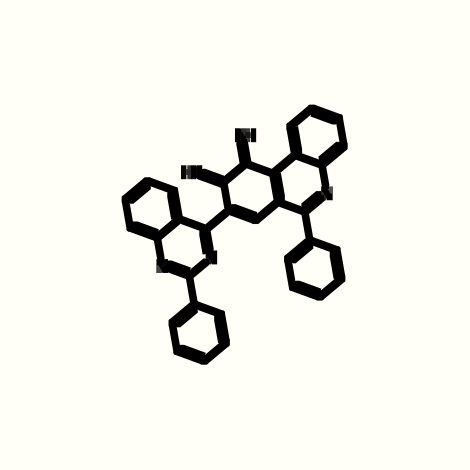 N=C1C(=N)c2c(c(-c3ccccc3)nc3ccccc23)C=C1c1nc(-c2ccccc2)nc2ccccc12